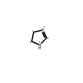 C1=PCCN1